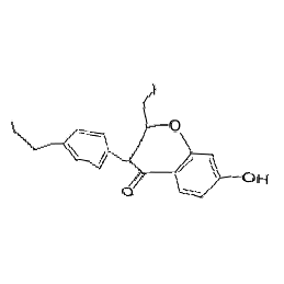 O=C1c2ccc(O)cc2OC(CI)C1c1ccc(CI)cc1